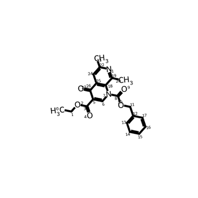 CCOC(=O)c1cn(C(=O)OCc2ccccc2)c2c(C)nc(C)cc2c1=O